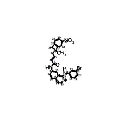 C[N+]1(C/C=C/C(=O)Nc2ccc3ncnc(Nc4cccc(Br)c4)c3c2)Cc2ccc([N+](=O)[O-])cc21